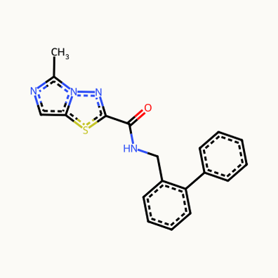 Cc1ncc2sc(C(=O)NCc3ccccc3-c3ccccc3)nn12